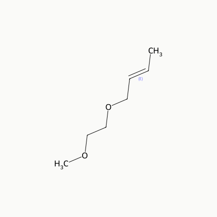 C/C=C/COCCOC